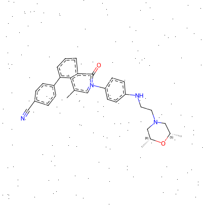 Cc1cn(-c2ccc(NCCN3C[C@@H](C)O[C@@H](C)C3)cc2)c(=O)c2cccc(-c3ccc(C#N)cc3)c12